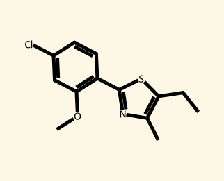 CCc1sc(-c2ccc(Cl)cc2OC)nc1C